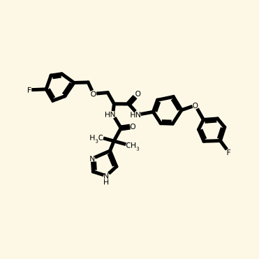 CC(C)(C(=O)NC(COCc1ccc(F)cc1)C(=O)Nc1ccc(Oc2ccc(F)cc2)cc1)c1c[nH]cn1